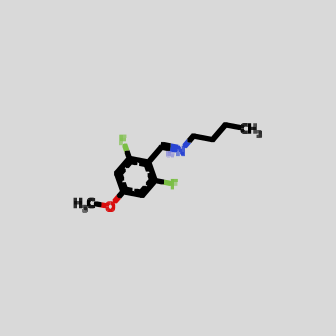 CCCC/N=C/c1c(F)cc(OC)cc1F